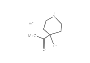 CCC1(C(=O)OC)CCNCC1.Cl